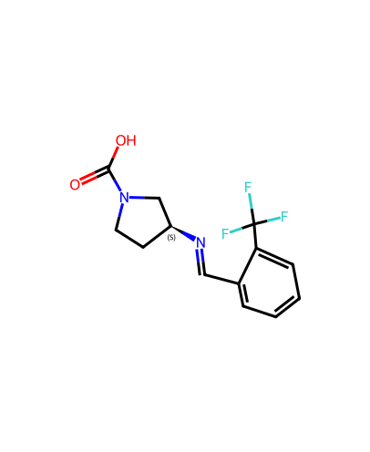 O=C(O)N1CC[C@H](N=Cc2ccccc2C(F)(F)F)C1